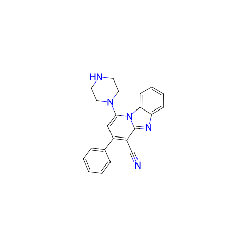 N#Cc1c(-c2ccccc2)cc(N2CCNCC2)n2c1nc1ccccc12